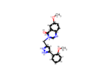 COc1ccc2ncn(Cc3cc(-c4ccccc4OC)[nH]n3)c(=O)c2c1